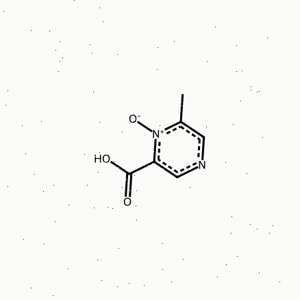 Cc1cncc(C(=O)O)[n+]1[O-]